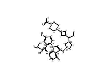 CCC(C1CC(N2CCN(C(C)=O)CC2)C1)N1CC[C@@H](Cc2cn(-c3ccc(F)cc3C(=O)N(C)C(C)C)c3cncc(C)c23)C1